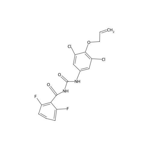 C=CCOc1c(Cl)cc(NC(=O)NC(=O)c2c(F)cccc2F)cc1Cl